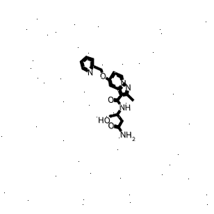 Cc1nn2ccc(OCc3ccccn3)cc2c1C(=O)NC(CO)CC(N)=O